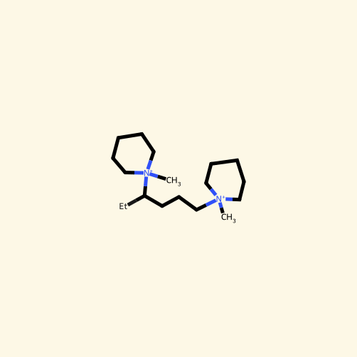 CCC(CCC[N+]1(C)CCCCC1)[N+]1(C)CCCCC1